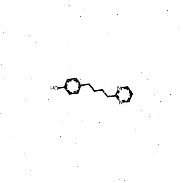 Oc1ccc(CCCCc2ncccn2)cc1